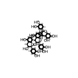 Oc1cc(O)c2c(c1)O[C@@]1(c3ccc(O)c(O)c3)Oc3cc(O)c4c(c3[C@@H]2[C@H]1O)O[C@H](c1ccc(O)c(O)c1)[C@H](O)[C@@H]4c1c(O)cc(O)c2c1O[C@@H](c1ccc(O)c(O)c1)[C@@H](O)C2